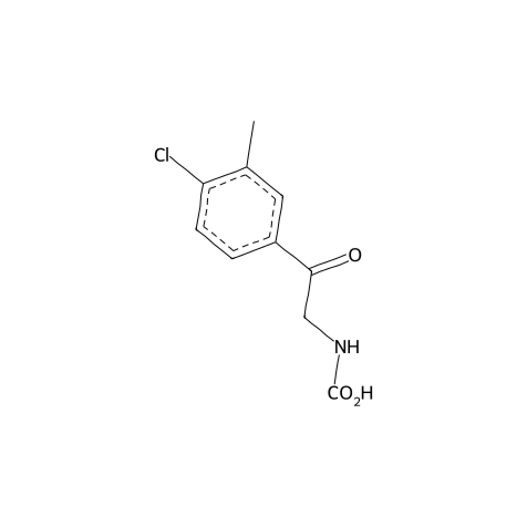 Cc1cc(C(=O)CNC(=O)O)ccc1Cl